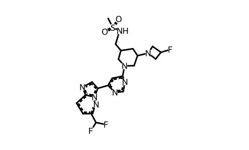 CS(=O)(=O)NCC1CC(N2CC(F)C2)CN(c2cc(-c3cnc4ccc(C(F)F)nn34)ncn2)C1